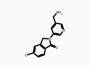 NCc1cncc(N2Cc3cc(Cl)ccc3C2=O)c1